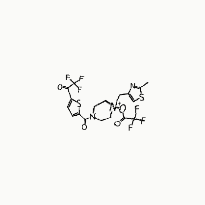 Cc1nc(C[N+]2(OC(=O)C(F)(F)F)CCN(C(=O)c3ccc(C(=O)C(F)(F)F)s3)CC2)cs1